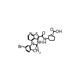 Cc1ccc(Br)cc1N1C(=O)Nc2c(C(=O)NC3CCCN(C(=O)O)C3)sc3nccc1c23